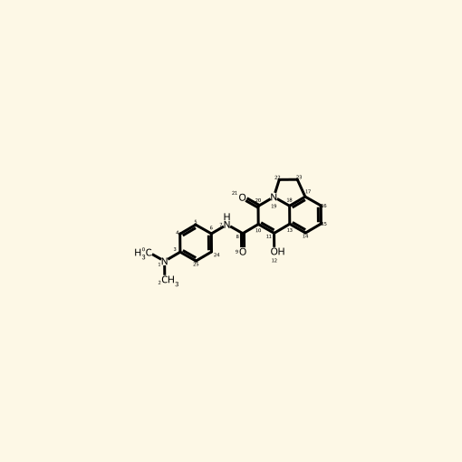 CN(C)c1ccc(NC(=O)c2c(O)c3cccc4c3n(c2=O)CC4)cc1